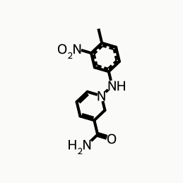 Cc1ccc(NN2C=CC=C(C(N)=O)C2)cc1[N+](=O)[O-]